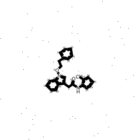 O=C(Cc1cn(OCCc2ccccc2)c2ccccc12)Nc1ccccc1Cl